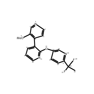 COc1cnccc1-c1cccnc1Oc1ccc(C(C)(F)F)nc1